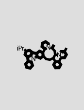 C=C1CC2C(CCc3cc4c(cc3-c3cccc[n+]31)c1cc(C(C)C)cc3c5ccccc5n4c31)c1ccccc1-c1ccc(C)c[n+]12